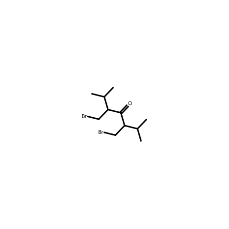 CC(C)C(CBr)C(=O)C(CBr)C(C)C